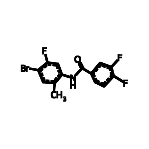 Cc1cc(Br)c(F)cc1NC(=O)c1ccc(F)c(F)c1